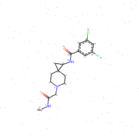 CC(C)(C)NC(=O)CN1CCC2(CC1)CC2NC(=O)c1cc(F)cc(Cl)c1